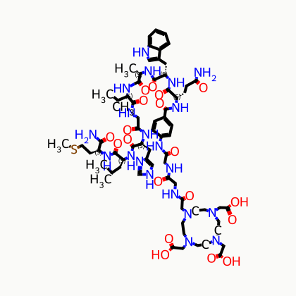 CSCC[C@H](NC(=O)[C@H](CC(C)C)NC(=O)[C@H](Cc1c[nH]cn1)NC(=O)CNC(=O)[C@@H](NC(=O)[C@H](C)NC(=O)[C@H](Cc1c[nH]c2ccccc12)NC(=O)[C@H](CCC(N)=O)NC(=O)c1ccc(NC(=O)CNC(=O)CNC(=O)CN2CCN(CC(=O)O)CCN(CC(=O)O)CCN(CC(=O)O)CC2)cc1)C(C)C)C(N)=O